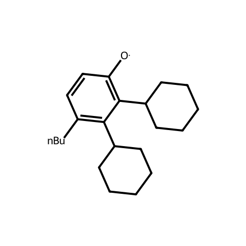 CCCCc1ccc([O])c(C2CCCCC2)c1C1CCCCC1